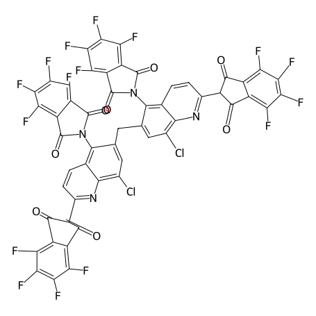 O=C1c2c(F)c(F)c(F)c(F)c2C(=O)C1c1ccc2c(N3C(=O)c4c(F)c(F)c(F)c(F)c4C3=O)c(Cc3cc(Cl)c4nc(C5C(=O)c6c(F)c(F)c(F)c(F)c6C5=O)ccc4c3N3C(=O)c4c(F)c(F)c(F)c(F)c4C3=O)cc(Cl)c2n1